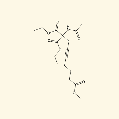 CCOC(=O)C(CC#CCCCC(=O)OC)(NC(C)=O)C(=O)OCC